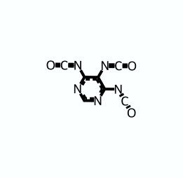 O=C=Nc1ncnc(N=C=O)c1N=C=O